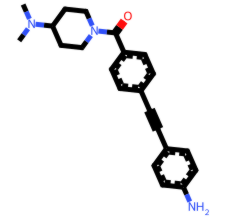 CN(C)C1CCN(C(=O)c2ccc(C#Cc3ccc(N)cc3)cc2)CC1